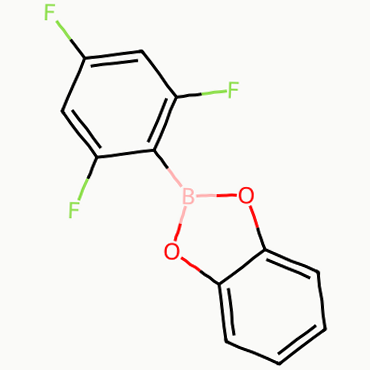 Fc1cc(F)c(B2Oc3ccccc3O2)c(F)c1